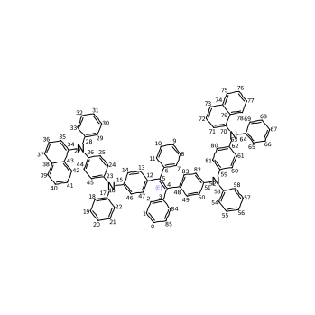 c1ccc(/C(=C(/c2ccccc2)c2ccc(N(c3ccccc3)c3ccc(N(c4ccccc4)c4cccc5ccccc45)cc3)cc2)c2ccc(N(c3ccccc3)c3ccc(N(c4ccccc4)c4cccc5ccccc45)cc3)cc2)cc1